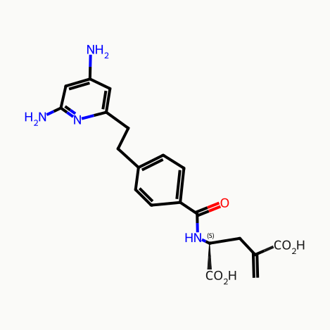 C=C(C[C@H](NC(=O)c1ccc(CCc2cc(N)cc(N)n2)cc1)C(=O)O)C(=O)O